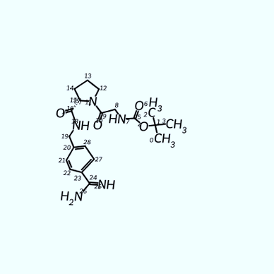 CC(C)(C)OC(=O)NCC(=O)N1CCC[C@H]1C(=O)NCc1ccc(C(=N)N)cc1